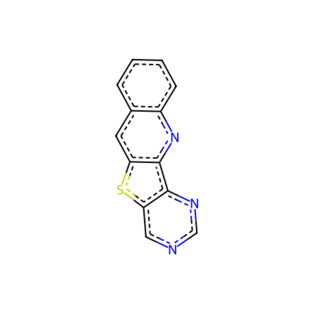 c1ccc2nc3c(cc2c1)sc1cncnc13